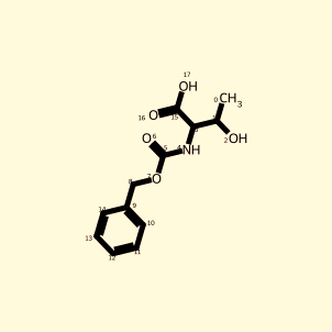 CC(O)C(NC(=O)OCc1ccccc1)C(=O)O